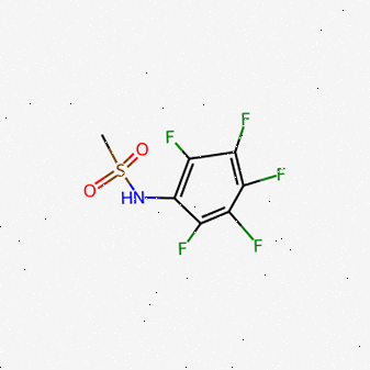 CS(=O)(=O)Nc1c(F)c(F)c(F)c(F)c1F